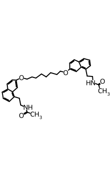 CC(=O)NCCc1cccc2ccc(OCCCCCCCCOc3ccc4cccc(CCNC(C)=O)c4c3)cc12